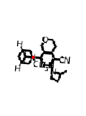 CC1CCN1c1nc(N2C[C@H]3C[C@@H](C2)C3CC(=O)O)c2c(c1C#N)CCOC2